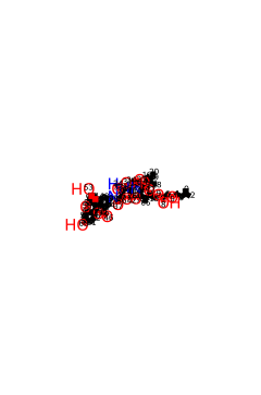 C=C(C)CCOCC(O)OCC1OC(OC(C)(CC)CC)C(NC(C)=O)C(OC2CC(O)C(OC)C(C(=O)Nc3ccc4c(c3)C(=O)OC43c4ccc(O)cc4Oc4cc(O)ccc43)O2)C1C